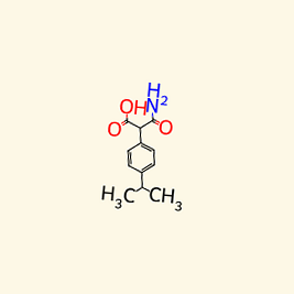 CC(C)c1ccc(C(C(N)=O)C(=O)O)cc1